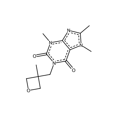 Cc1nc2c(c(=O)n(CC3(C)COC3)c(=O)n2C)n1C